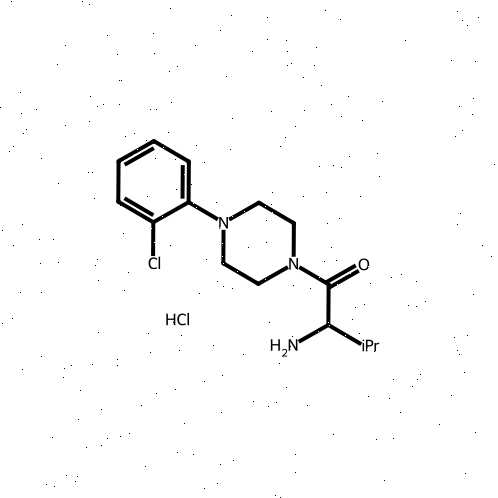 CC(C)C(N)C(=O)N1CCN(c2ccccc2Cl)CC1.Cl